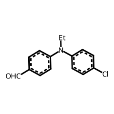 CCN(c1ccc(Cl)cc1)c1ccc(C=O)cc1